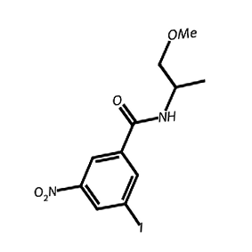 COCC(C)NC(=O)c1cc(I)cc([N+](=O)[O-])c1